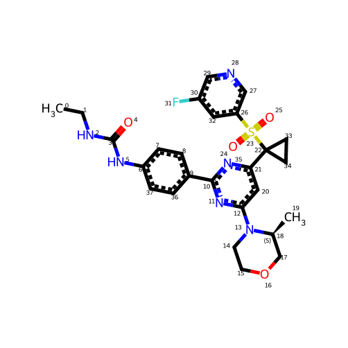 CCNC(=O)Nc1ccc(-c2nc(N3CCOC[C@@H]3C)cc(C3(S(=O)(=O)c4cncc(F)c4)CC3)n2)cc1